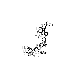 C=CCCC(C(=C)NC)N1C(=C)N(C)c2c(C3CCN(C4CCN(Cc5c(CC)cc(C6=CN(C)C(=C)C(C)=C6C)cc5OC)CC4(F)F)CC3)cccc21